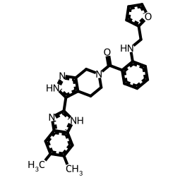 Cc1cc2nc(-c3[nH]nc4c3CCN(C(=O)c3ccccc3NCc3ccco3)C4)[nH]c2cc1C